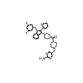 Nc1ncc(CN2CCC(C(=O)N3CCC(c4c(-c5ccccn5)n(Cc5cc(F)cc(F)c5)c5ccccc45)CC3)CC2)cn1